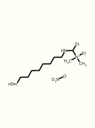 CCCCCCCCCCCCCCCCCCNC(CC)[N+](C)(C)CC.O=[N+]([O-])[O-]